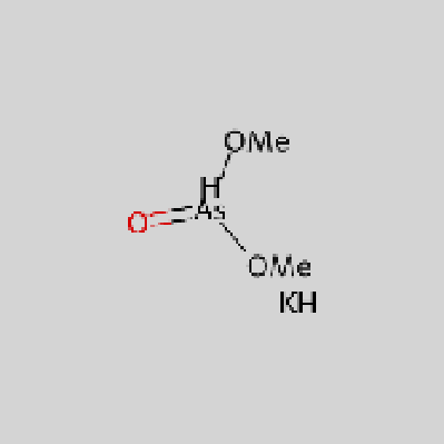 CO[AsH](=O)OC.[KH]